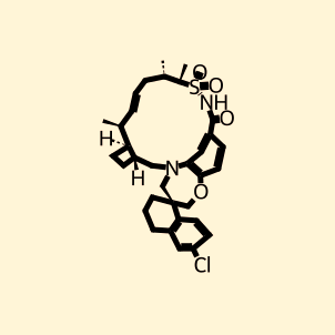 C[C@@H]1[C@@H](C)C/C=C/[C@H](C)[C@@H]2CC[C@H]2CN2C[C@@]3(CCCc4cc(Cl)ccc43)COc3ccc(cc32)C(=O)NS1(=O)=O